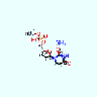 CCCCOP(=O)(O)OC[C@H]1CC[C@H](n2ccc(=O)[nH]c2=O)O1.N